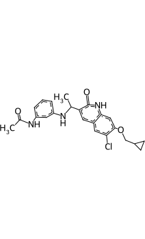 CC(=O)Nc1cccc(NC(C)c2cc3cc(Cl)c(OCC4CC4)cc3[nH]c2=O)c1